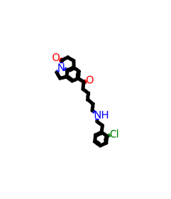 O=C(CCCCCNCCc1ccccc1Cl)c1cc2c3c(c1)CCN3C(=O)CC2